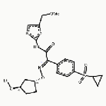 CCO[C@@H]1CC[C@@H](O/N=C(/C(=O)Nc2ncc(COC)s2)c2ccc(S(=O)(=O)C3CC3)cc2)C1